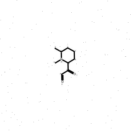 CC1CCCC(C(=O)C=O)N1C